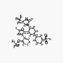 Cc1nc(C2=CCCC=C2OC(F)(F)F)c(-c2cc(-c3cccc(S(C)(=O)=O)c3)ccc2-n2cc(C(F)(F)F)nc2C)o1